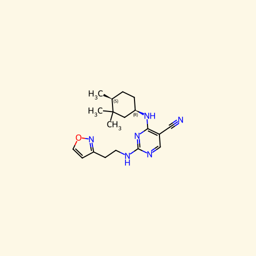 C[C@H]1CC[C@@H](Nc2nc(NCCc3ccon3)ncc2C#N)CC1(C)C